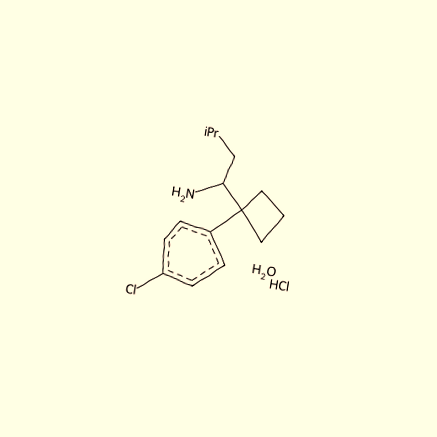 CC(C)CC(N)C1(c2ccc(Cl)cc2)CCC1.Cl.O